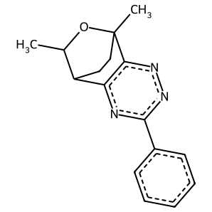 CC1OC2(C)CCC1c1nc(-c3ccccc3)nnc12